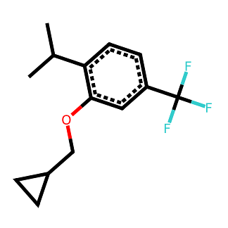 CC(C)c1ccc(C(F)(F)F)cc1OCC1CC1